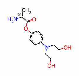 C[C@H](N)C(=O)Oc1ccc(N(CCO)CCO)cc1